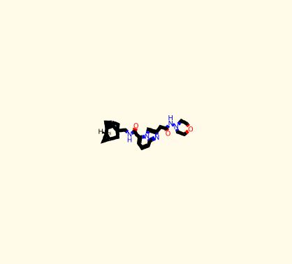 O=C(Cc1cn2c(C(=O)NCC34CC5C[C@@H]5C5(CC5C3)C4)cccc2n1)NN1CCOCC1